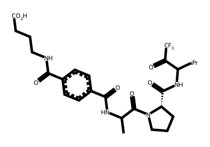 CC(NC(=O)c1ccc(C(=O)NCCCC(=O)O)cc1)C(=O)N1CCC[C@H]1C(=O)NC(C(=O)C(F)(F)F)C(C)C